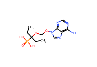 CCC(CC)(OCOn1cnc2c(N)ncnc21)P(=O)(O)O